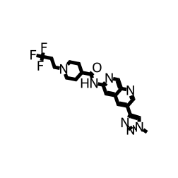 Cn1cc(-c2cnc3cnc(NC(=O)C4CCN(CCC(F)(F)F)CC4)cc3c2)nn1